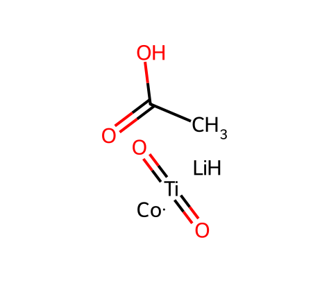 CC(=O)O.[Co].[LiH].[O]=[Ti]=[O]